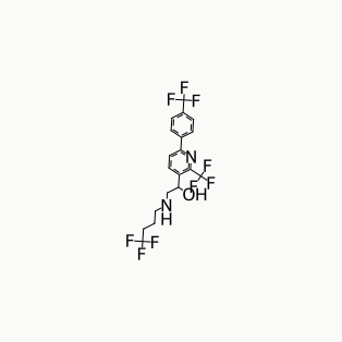 OC(CNCCCC(F)(F)F)c1ccc(-c2ccc(C(F)(F)F)cc2)nc1C(F)(F)F